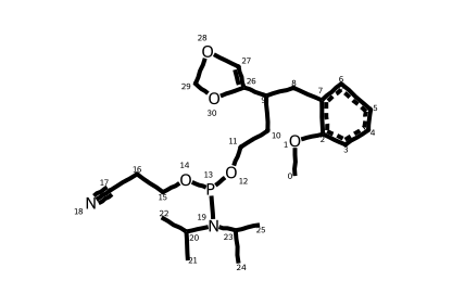 COc1ccccc1CC(CCOP(OCCC#N)N(C(C)C)C(C)C)C1=COCO1